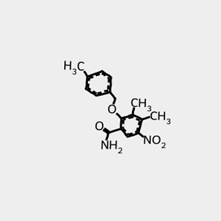 Cc1ccc(COc2c(C(N)=O)cc([N+](=O)[O-])c(C)c2C)cc1